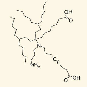 CCCCCC(CCCCC)CCC(CCCCCCC(=O)O)(CCC(CCCCC)CCCCC)N(CCCN)CCCCCCCC(=O)O